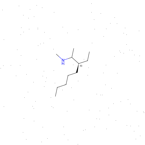 CCCCC[C@H](CC)C(C)NC